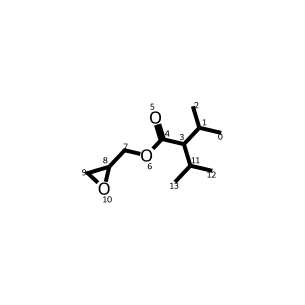 CC(C)C(C(=O)OCC1CO1)C(C)C